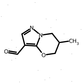 CC1COc2c(C=O)cnn2C1